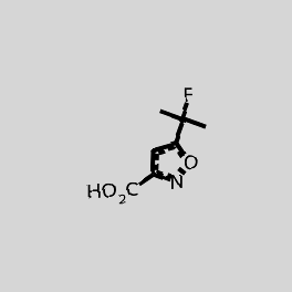 CC(C)(F)c1cc(C(=O)O)no1